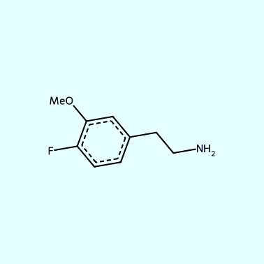 COc1cc(CCN)ccc1F